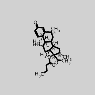 CCCC(=O)O[C@]1(C(C)=O)[C@@H](C)C[C@H]2[C@@H]3C[C@H](C)C4=CC(=O)C=C[C@]4(C)[C@@]3(F)[C@@H](O)C[C@@]21C